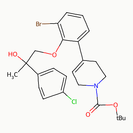 CC(C)(C)OC(=O)N1CC=C(c2cccc(Br)c2OCC(C)(O)c2ccc(Cl)cc2)CC1